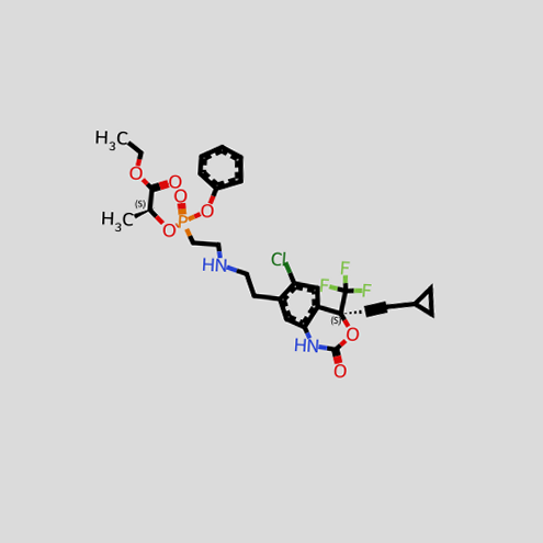 CCOC(=O)[C@H](C)OP(=O)(CCNCCc1cc2c(cc1Cl)[C@@](C#CC1CC1)(C(F)(F)F)OC(=O)N2)Oc1ccccc1